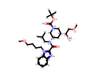 COCCCCn1c(C(=O)N(CC(C)C)[C@H]2C[C@@H](C(O)COC)CN(C(=O)OC(C)(C)C)C2)nc2ccccc21